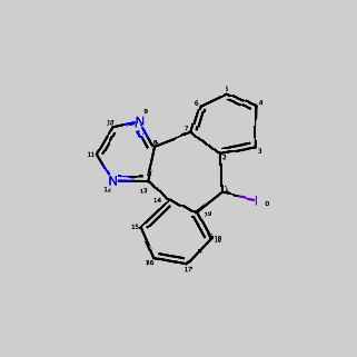 IC1c2ccccc2-c2nccnc2-c2ccccc21